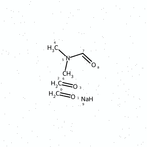 C=O.C=O.CN(C)C=O.[NaH]